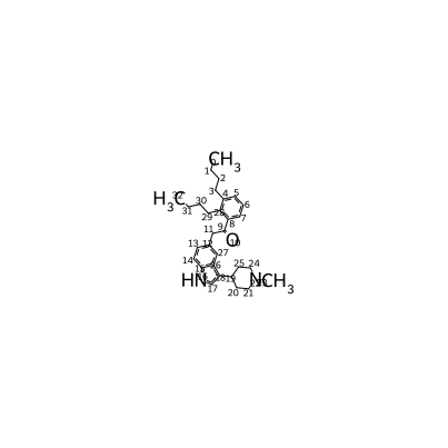 CCCCc1cccc(C(=O)Cc2ccc3[nH]cc(C4CCN(C)CC4)c3c2)c1CCCC